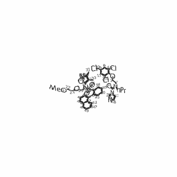 CCCN(CCOc1c(Cl)cc(Cl)cc1Cl)C(=O)n1ccnc1.COCCOCN(c1onc(C)c1C)S(=O)(=O)c1ccccc1-c1cccc2ccccc12